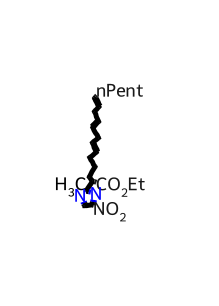 CCCCCC=CCC=CCC=CCCCC(C(=O)OCC)C1(C)N=CC([N+](=O)[O-])=N1